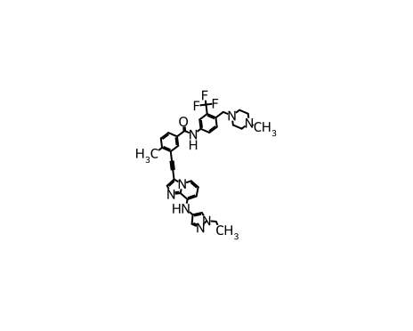 CCn1cc(Nc2cccn3c(C#Cc4cc(C(=O)Nc5ccc(CN6CCN(C)CC6)c(C(F)(F)F)c5)ccc4C)cnc23)cn1